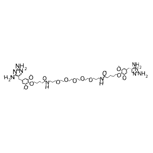 COc1cc(Cc2cnc(N)nc2N)cc(OC)c1OCCCCC(=O)NCCCOCCOCCOCCOCCOCCCNC(=O)CCCCOc1c(OC)cc(Cc2cnc(N)nc2N)cc1OC